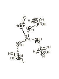 CC(=O)NC1C(OCCCCOP(=O)(O)OCCCOCC(COCCCCCCOP(=O)(O)OC(=O)OCc2ccccc2)(COCCCOP(=O)(O)OCCCCOC2OC(CO)C(O)C(O)C2NC(C)=O)COCCCOP(=O)(O)OCCCCOC2OC(CO)C(O)C(O)C2NC(C)=O)OC(CO)C(O)C1O